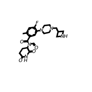 Cc1cc(F)c(N2CCN(CC3CNC3)CC2)cc1C(=O)N(C=O)C1CCC(=O)NC1=O